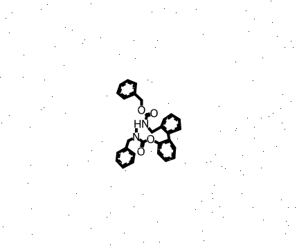 CN(Cc1ccccc1)C(=O)Oc1ccccc1-c1ccccc1CNC(=O)OCc1ccccc1